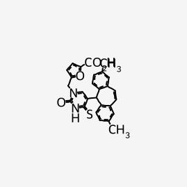 Cc1ccc2c(c1)C=Cc1cc(C)ccc1C2c1cn(Cc2ccc(C(=O)O)o2)c(=O)[nH]c1=S